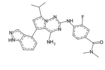 CC(C)c1cc(-c2cccc3[nH]ncc23)c2c(N)nc(Nc3ccc(C(=O)N(C)C)cc3F)nn12